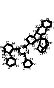 c1ccc(-c2nc(-c3ccc4c(c3)C3(c5cc6ccccc6cc5-4)C4CC5CC(C4)CC3C5)nc(-c3cccc4oc5ccccc5c34)n2)cc1